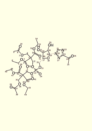 CCOC(=O)C(COC(C)=O)(COP(=O)(OC[C@H]1O[C@@H](n2cnc(C(C)=O)n2)C(O)C1O)OCC(COC(C)=O)(C(=O)OCC)C(=O)OCC)C(=O)OCC